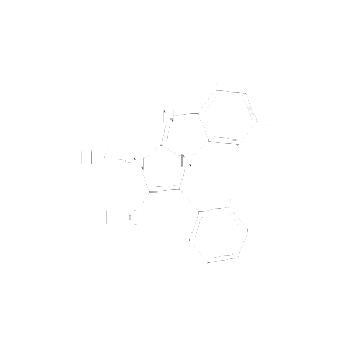 Cc1c(-c2ccccc2)n2c3ccccc3nc2n1C